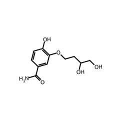 NC(=O)c1ccc(O)c(OCCC(O)CO)c1